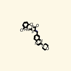 O=C1N=C(Nc2c(Cl)cccc2Cl)S/C1=C\c1ccc2ncc(N3CCOCC3)nc2c1